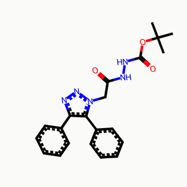 CC(C)(C)OC(=O)NNC(=O)Cn1nnc(-c2ccccc2)c1-c1ccccc1